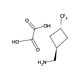 NC[C@H]1C[C@H](C(F)(F)F)C1.O=C(O)C(=O)O